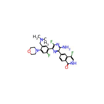 CN(C)Cc1cc(-c2nc(-c3ccc4c(=O)[nH]cc(F)c4c3)c(N)nc2F)c(F)cc1N1CCOCC1